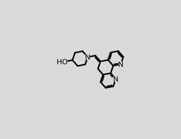 OC1CCN(C=C2Cc3cccnc3-c3ncccc32)CC1